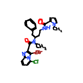 CN(C(=O)c1nc2cccc(Cl)n2c1Br)C(CCNC(=O)c1cccn1C)Cc1ccccc1